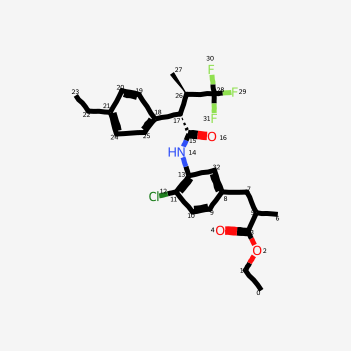 CCOC(=O)C(C)Cc1ccc(Cl)c(NC(=O)[C@H](c2ccc(CC)cc2)[C@@H](C)C(F)(F)F)c1